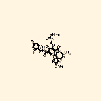 CCCCCCCC(=O)OCOc1c2n(cc(C(=O)NCc3ccc(F)cc3F)c1=O)[C@@H]1CN(C2=O)[C@@H](C)CC[C@]12CC(OC)=NO2